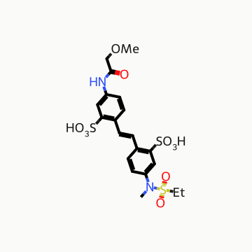 CCS(=O)(=O)N(C)c1ccc(/C=C/c2ccc(NC(=O)COC)cc2S(=O)(=O)O)c(S(=O)(=O)O)c1